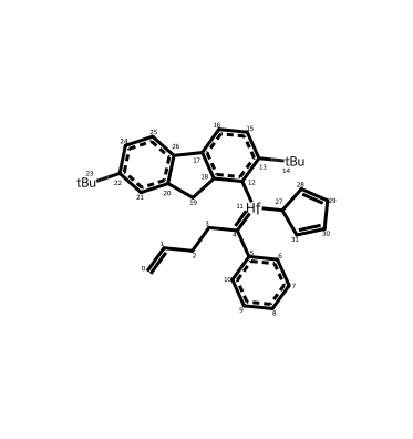 C=CCC[C](c1ccccc1)=[Hf]([c]1c(C(C)(C)C)ccc2c1Cc1cc(C(C)(C)C)ccc1-2)[CH]1C=CC=C1